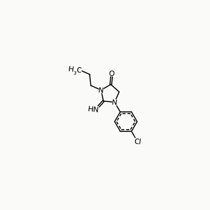 CCCN1C(=N)N(c2ccc(Cl)cc2)CC1=O